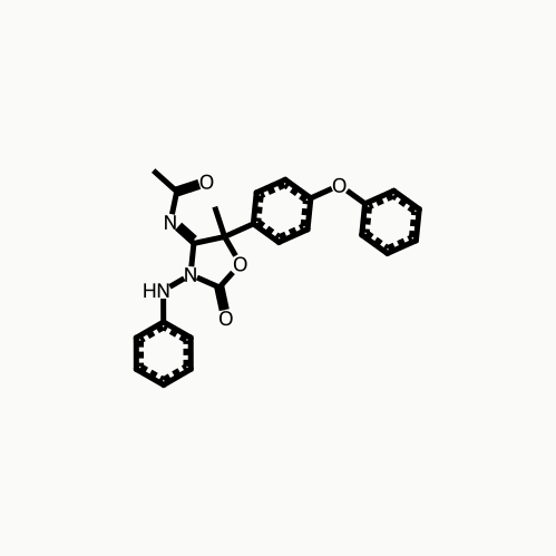 CC(=O)N=C1N(Nc2ccccc2)C(=O)OC1(C)c1ccc(Oc2ccccc2)cc1